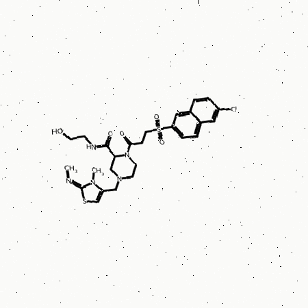 CN=c1scc(CN2CCN(C(=O)CCS(=O)(=O)c3ccc4cc(Cl)ccc4c3)C(C(=O)NCCO)C2)n1C